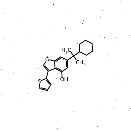 CC(C)(c1cc(O)c2c(-c3cccs3)coc2c1)C1CCCCC1